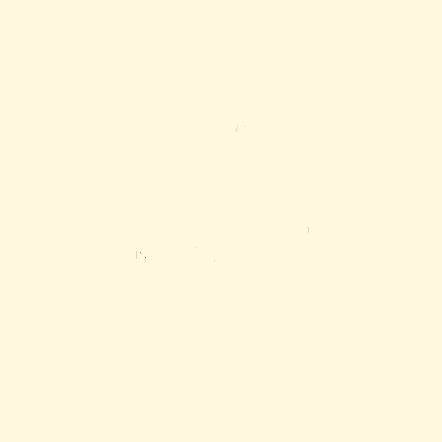 CCCC(Cc1ccc(C(=O)c2c[nH]c3ccccc23)cc1)c1ccc(CC(C)C)cc1